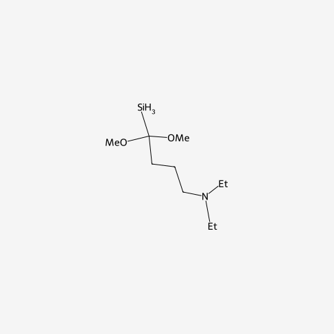 CCN(CC)CCCC([SiH3])(OC)OC